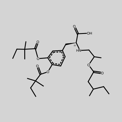 CCC(C)CC(=O)OC(C)CN[C@@H](Cc1ccc(OC(=O)C(C)(C)CC)c(OC(=O)C(C)(C)CC)c1)C(=O)O